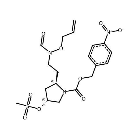 C=CCON(C=O)CC[C@@H]1C[C@@H](OS(C)(=O)=O)CN1C(=O)OCc1ccc([N+](=O)[O-])cc1